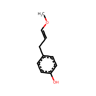 COC=CCc1ccc(O)cc1